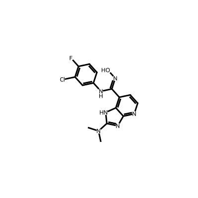 CN(C)c1nc2nccc(/C(=N/O)Nc3ccc(F)c(Cl)c3)c2[nH]1